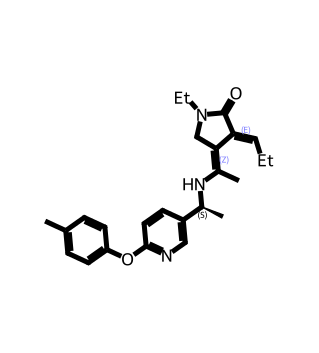 CC/C=C1/C(=O)N(CC)C/C1=C(/C)N[C@@H](C)c1ccc(Oc2ccc(C)cc2)nc1